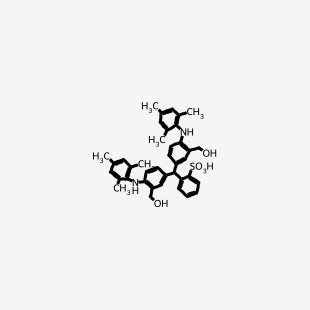 Cc1cc(C)c(Nc2ccc(C(c3ccc(Nc4c(C)cc(C)cc4C)c(CO)c3)c3ccccc3S(=O)(=O)O)cc2CO)c(C)c1